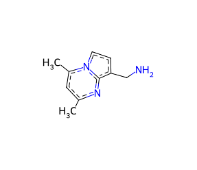 Cc1cc(C)n2ccc(CN)c2n1